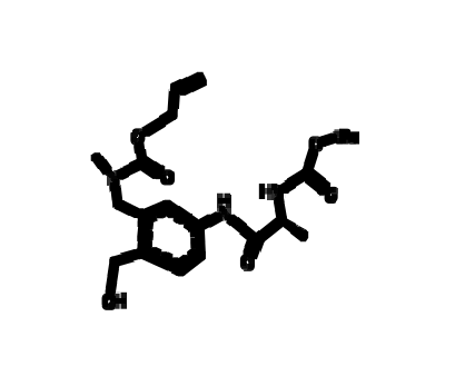 C=CCOC(=O)N(C)Cc1cc(NC(=O)[C@H](C)NC(=O)OC(C)(C)C)ccc1CO